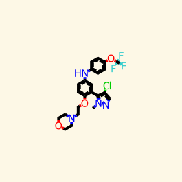 Cn1ncc(Cl)c1-c1cc(Nc2ccc(OC(F)(F)F)cc2)ccc1OCCN1CCOCC1